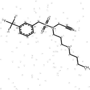 CCCCOCCCN(CC#N)S(=O)(=O)Cc1cccc(C(F)(F)F)c1